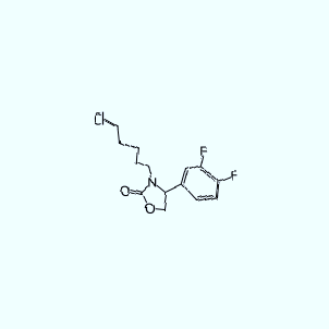 O=C1OCC(c2ccc(F)c(F)c2)N1CCCCCCl